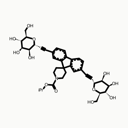 CC(C)OC(=O)N1CCC2(CC1)c1cc(C#C[C@H]3O[C@H](CO)[C@@H](O)[C@H](O)[C@@H]3O)ccc1-c1ccc(C#C[C@H]3O[C@H](CO)[C@@H](O)[C@H](O)[C@@H]3O)cc12